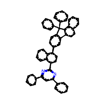 c1ccc(-c2cc(-c3ccccc3)nc(-c3ccc(-c4ccc5c(c4)-c4ccc6ccccc6c4C5(c4ccccc4)c4ccccc4)c4ccccc34)n2)cc1